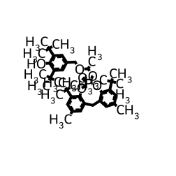 Cc1cc2c(c(C(C)(C)C)c1)OP(=O)(OC(C)OCc1cc(C(C)(C)C)c(O)c(C(C)(C)C)c1)Oc1c(cc(C)cc1C(C)(C)C)C2